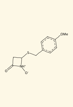 COc1ccc(CSC2CC(=O)[NH+]2[O-])cc1